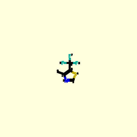 Cc1ncsc1C(F)(F)F